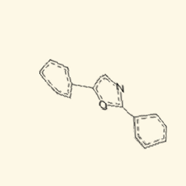 c1ccc(-c2cnc(-c3ccccc3)o2)cc1